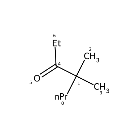 CCCC(C)(C)C(=O)CC